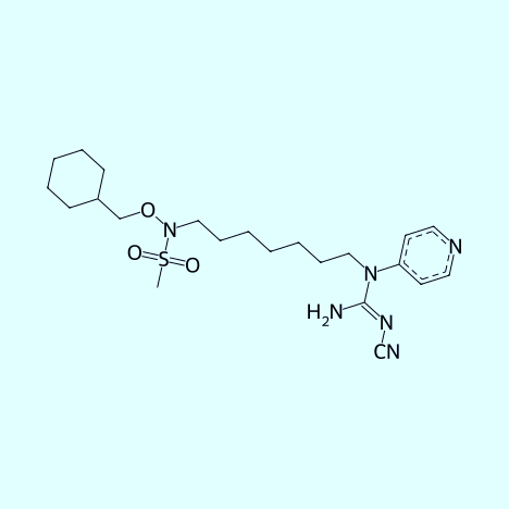 CS(=O)(=O)N(CCCCCCCN(C(N)=NC#N)c1ccncc1)OCC1CCCCC1